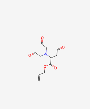 C=CCOC(=O)C(CC=O)N(CC=O)CC=O